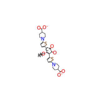 O=C([O-])C1CCN(c2ccc(-c3c([O-])[c+](-c4ccc(N5CCC(C(=O)[O-])CC5)s4)c(=O)c3=O)s2)CC1.[K+].[K+]